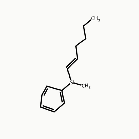 CCCCC=C[Si](C)c1ccccc1